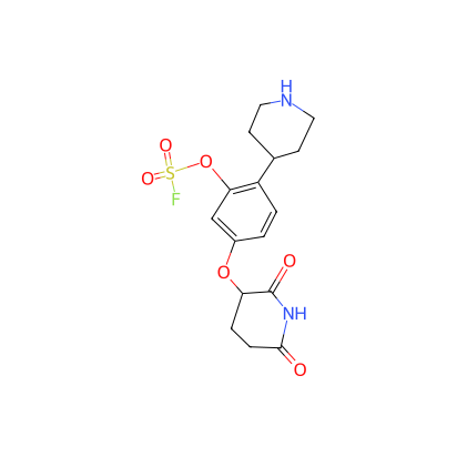 O=C1CCC(Oc2ccc(C3CCNCC3)c(OS(=O)(=O)F)c2)C(=O)N1